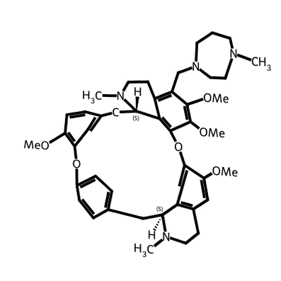 COc1ccc2cc1Oc1ccc(cc1)C[C@H]1c3cc(c(OC)cc3CCN1C)Oc1c(OC)c(OC)c(CN3CCCN(C)CC3)c3c1[C@H](C2)N(C)CC3